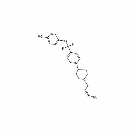 CC/C=C\CC1CCC(c2ccc(C(F)(F)Oc3ccc(C#N)cc3)cc2)CC1